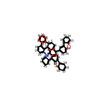 c1ccc(-c2ccccc2-c2c(-c3ccccc3)cccc2N(c2ccc(-c3ccc4oc5ccccc5c4c3)cc2)c2ccccc2-c2cccc3c2sc2ccccc23)cc1